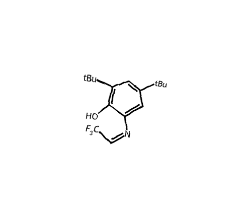 CC(C)(C)c1cc(/N=C\C(F)(F)F)c(O)c(C(C)(C)C)c1